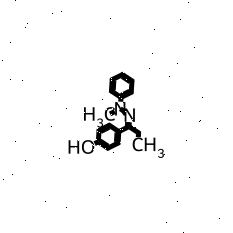 CCC(=NN(C)c1ccccc1)c1ccc(O)cc1